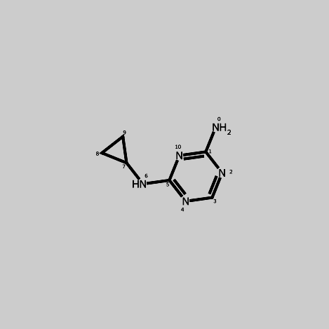 Nc1ncnc(NC2CC2)n1